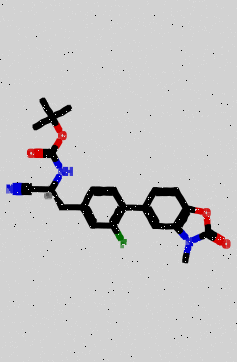 Cn1c(=O)oc2ccc(-c3ccc(C[C@@H](C#N)NC(=O)OC(C)(C)C)cc3F)cc21